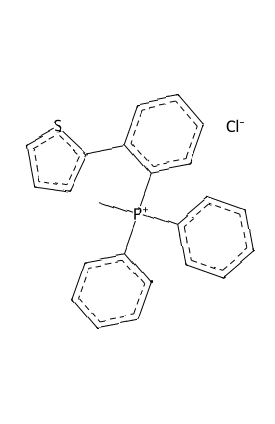 C[P+](c1ccccc1)(c1ccccc1)c1ccccc1-c1cccs1.[Cl-]